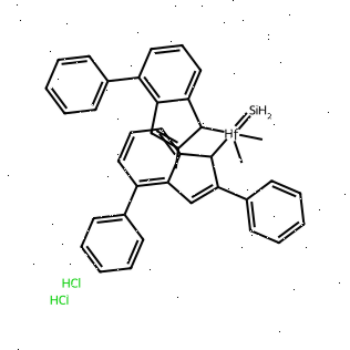 CC1=Cc2c(-c3ccccc3)cccc2[CH]1[Hf]([CH3])([CH3])(=[SiH2])[CH]1C(c2ccccc2)=Cc2c(-c3ccccc3)cccc21.Cl.Cl